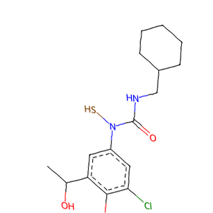 CC(O)c1cc(N(S)C(=O)NCC2CCCCC2)cc(Cl)c1O